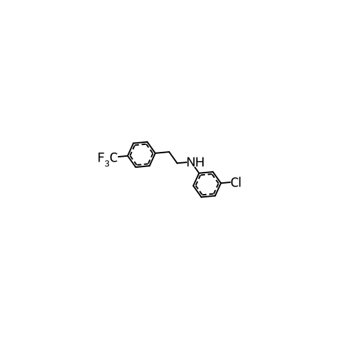 FC(F)(F)c1ccc(CCNc2cccc(Cl)c2)cc1